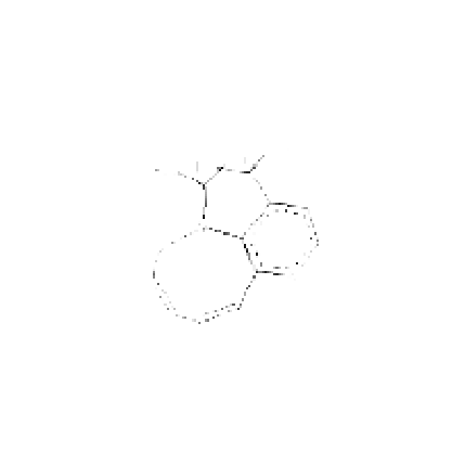 CC(C)c1ccnc2c1N(C(C)C)C/C=C\C=C/2